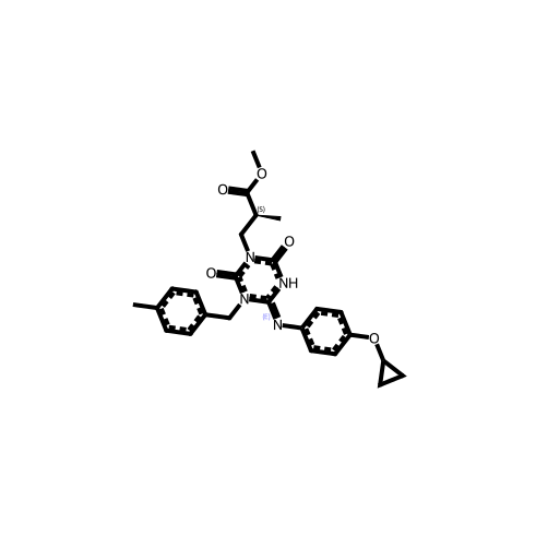 COC(=O)[C@@H](C)Cn1c(=O)[nH]/c(=N\c2ccc(OC3CC3)cc2)n(Cc2ccc(C)cc2)c1=O